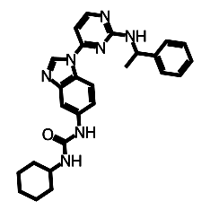 CC(Nc1nccc(-n2cnc3cc(NC(=O)NC4CCCCC4)ccc32)n1)c1ccccc1